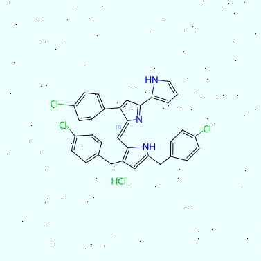 Cl.Clc1ccc(Cc2cc(Cc3ccc(Cl)cc3)c(/C=C3\N=C(c4ccc[nH]4)C=C3c3ccc(Cl)cc3)[nH]2)cc1